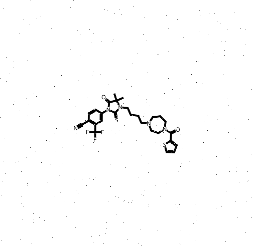 CC1(C)C(=O)N(c2ccc(C#N)c(C(F)(F)F)c2)C(=S)N1CCCCN1CCCN(C(=O)c2cccs2)CC1